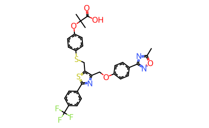 Cc1nc(-c2ccc(OCc3nc(-c4ccc(C(F)(F)F)cc4)sc3CSc3ccc(OC(C)(C)C(=O)O)cc3)cc2)no1